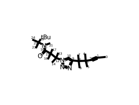 CC#CC(C)(C)C(C)(C)c1cn(C(C)(C)C(C)(C)C(=O)N(C)C(C)(C)C(C)(C)C)nn1